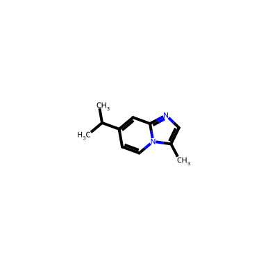 Cc1cnc2cc(C(C)C)ccn12